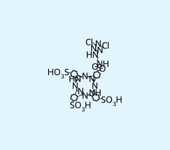 O=S(=O)(O)c1ccc2c(c1)-c1nc-2nc2[nH]c(nc3nc(nc4[nH]c(n1)c1ccc(S(=O)(=O)O)cc41)-c1ccc(S(=O)(=O)NCCNc4nc(Cl)nc(Cl)n4)cc1-3)c1ccc(S(=O)(=O)O)cc21